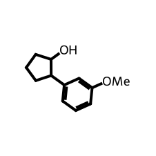 COc1cccc(C2CCCC2O)c1